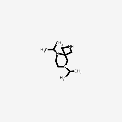 CC(C)N1CCN(C(C)C)C2(CNC2)C1